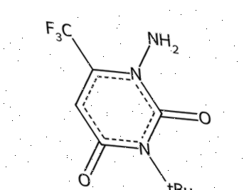 CC(C)(C)n1c(=O)cc(C(F)(F)F)n(N)c1=O